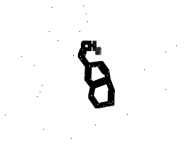 C=Cc1ccc2c(c1)CCC=C2